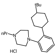 CCCN1CCN(c2ccccc2C2CCC(C(C)(C)C)CC2)CC1.Cl